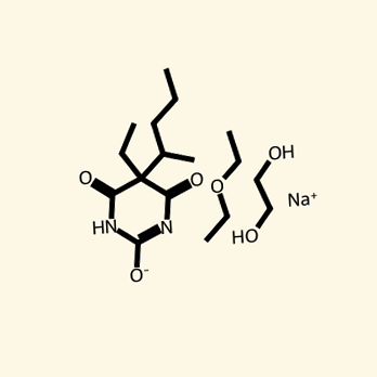 CCCC(C)C1(CC)C(=O)N=C([O-])NC1=O.CCOCC.OCCO.[Na+]